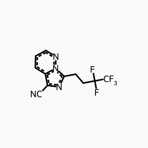 N#Cc1nc(CCC(F)(F)C(F)(F)F)n2ncccc12